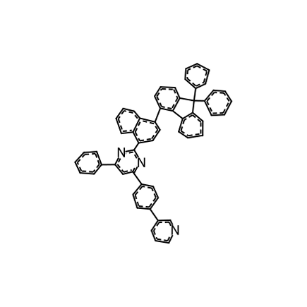 c1ccc(-c2cc(-c3ccc(-c4cccnc4)cc3)nc(-c3ccc(-c4cccc5c4-c4ccccc4C5(c4ccccc4)c4ccccc4)c4ccccc34)n2)cc1